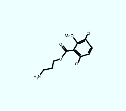 COc1c(Cl)ccc(Cl)c1C(=O)OCCCN